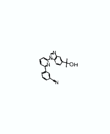 CC(C)(O)c1ccc2c(c1)ncn2-c1cccc(-c2cccc(C#N)c2)n1